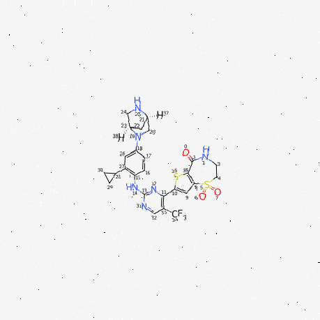 O=C1NCCS(=O)(=O)c2cc(-c3nc(Nc4ccc(N5C[C@H]6C[C@@H]5CN6)cc4C4CC4)ncc3C(F)(F)F)sc21